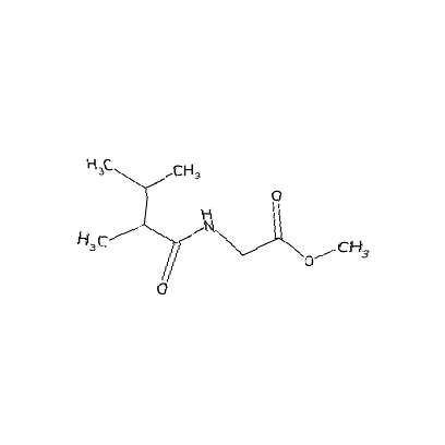 COC(=O)CNC(=O)C(C)C(C)C